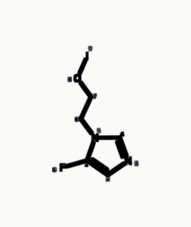 Fc1cncn1CCOI